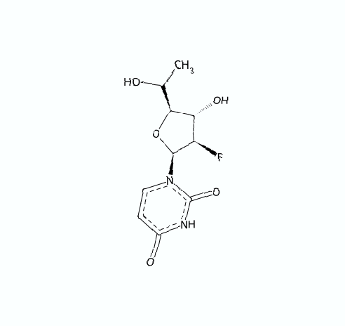 CC(O)[C@@H]1O[C@H](n2ccc(=O)[nH]c2=O)[C@H](F)[C@H]1O